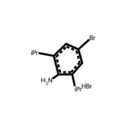 Br.CC(C)c1cc(Br)cc(C(C)C)c1N